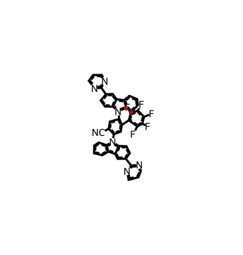 N#Cc1cc(-n2c3ccccc3c3cc(-c4ncccn4)ccc32)c(-c2c(F)c(F)c(F)c(F)c2F)cc1-n1c2ccccc2c2cc(-c3ncccn3)ccc21